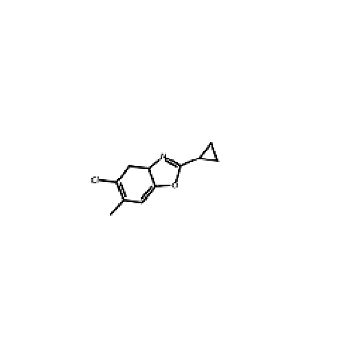 CC1=C(Cl)CC2N=C(C3CC3)OC2=C1